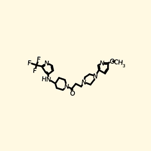 COc1ccc(N2CCN(CCC(=O)N3CCC(Nc4ccnc(C(F)(F)F)c4)CC3)CC2)cn1